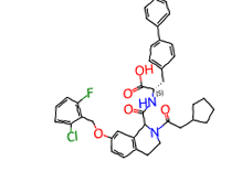 O=C(N[C@@H](Cc1ccc(-c2ccccc2)cc1)C(=O)O)C1c2cc(OCc3c(F)cccc3Cl)ccc2CCN1C(=O)CC1CCCC1